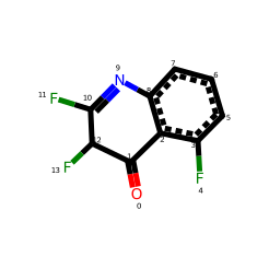 O=C1c2c(F)cccc2N=C(F)C1F